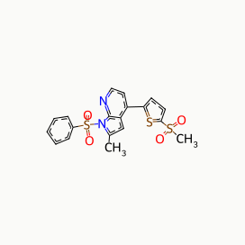 Cc1cc2c(-c3ccc(S(C)(=O)=O)s3)ccnc2n1S(=O)(=O)c1ccccc1